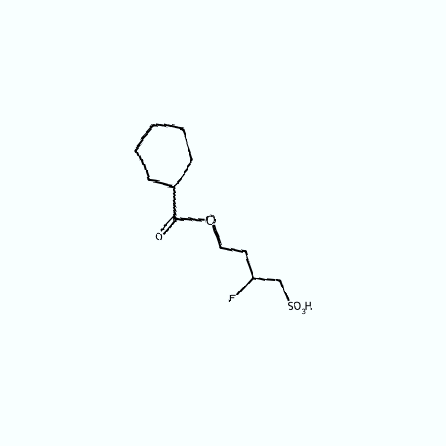 O=C(OCCC(F)CS(=O)(=O)O)C1CCCCC1